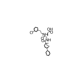 O=C(O)CC[C@H](NC(=O)c1ccc(-c2ccccc2)cc1)C(=O)NCCc1cccc(Cl)c1